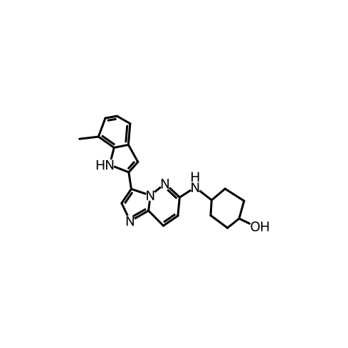 Cc1cccc2cc(-c3cnc4ccc(NC5CCC(O)CC5)nn34)[nH]c12